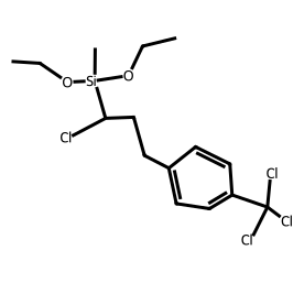 CCO[Si](C)(OCC)C(Cl)CCc1ccc(C(Cl)(Cl)Cl)cc1